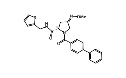 CON=C1C[C@@H](C(=O)NCc2cccs2)N(C(=O)c2ccc(-c3ccccc3)cc2)C1